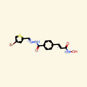 O=C(/C=C/c1ccc(C(=O)N/N=C/c2cc(Br)cs2)cc1)NO